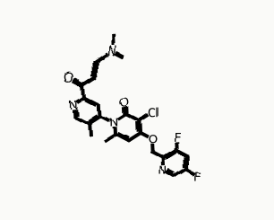 Cc1cnc(C(=O)C=CN(C)C)cc1-n1c(C)cc(OCc2ncc(F)cc2F)c(Cl)c1=O